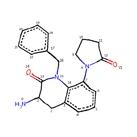 NC1Cc2cccc(N3CCCC3=O)c2N(Cc2ccccc2)C1=O